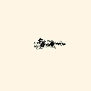 C=CCOC(=O)CCCOc1cc([N+](=O)[O-])c(COC(=O)Nc2cc(OC)c(OC)cc2C(=O)N2CCC[C@H]2COC(C)=O)cc1OC